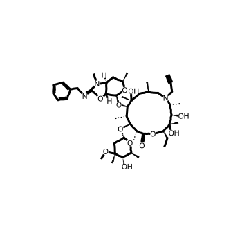 C#CCN1C[C@H](C)C[C@@](C)(O)[C@H](O[C@@H]2O[C@H](C)C[C@H]3[C@H]2OC(=NCc2ccccc2)N3C)[C@@H](C)[C@H](O[C@H]2C[C@@](C)(OC)[C@@H](O)[C@H](C)O2)[C@@H](C)C(=O)O[C@H](CC)[C@@](C)(O)[C@H](O)[C@H]1C